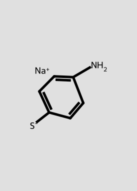 Nc1ccc([S-])cc1.[Na+]